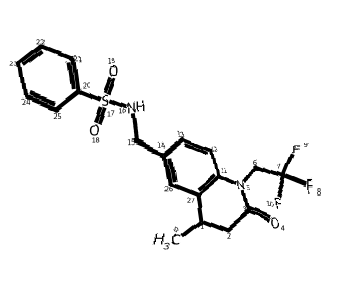 CC1CC(=O)N(CC(F)(F)F)c2ccc(CNS(=O)(=O)c3ccccc3)cc21